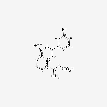 CC(CC(=O)O)c1cccc2ncc(-c3cccc(F)c3)cc12.Cl